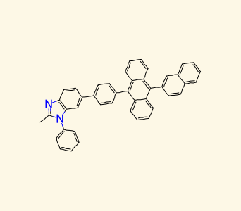 Cc1nc2ccc(-c3ccc(-c4c5ccccc5c(-c5ccc6ccccc6c5)c5ccccc45)cc3)cc2n1-c1ccccc1